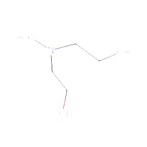 CN(CCO)CCO.[H+]